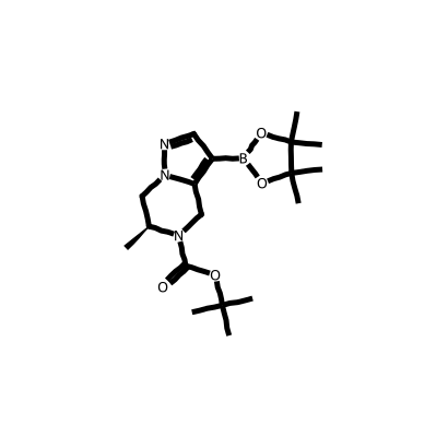 C[C@H]1Cn2ncc(B3OC(C)(C)C(C)(C)O3)c2CN1C(=O)OC(C)(C)C